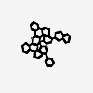 c1ccc(-c2ccc(C3(c4ccc(-c5ccc6ccccc6c5)cc4)c4c(c5ccccc5c5ccccc45)Oc4c3c3ccccc3c3ccccc43)cc2)cc1